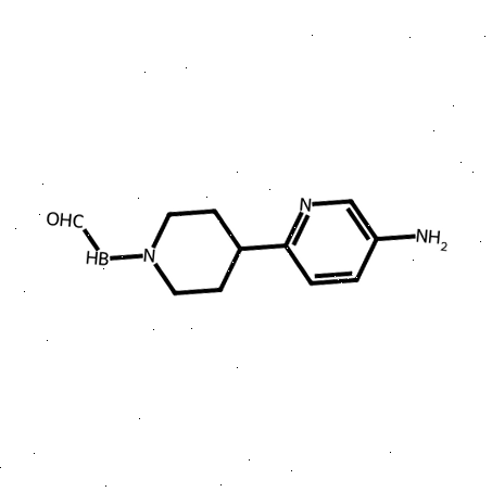 Nc1ccc(C2CCN(BC=O)CC2)nc1